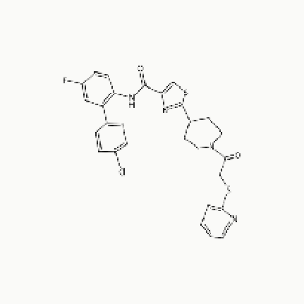 O=C(Nc1ccc(F)cc1-c1ccc(Cl)cc1)c1csc(C2CCN(C(=O)CSc3ccccn3)CC2)n1